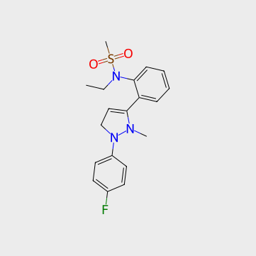 CCN(c1ccccc1C1=CCN(c2ccc(F)cc2)N1C)S(C)(=O)=O